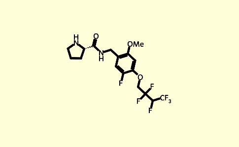 COc1cc(OCC(F)(F)C(F)C(F)(F)F)c(F)cc1CNC(=O)[C@@H]1CCCN1